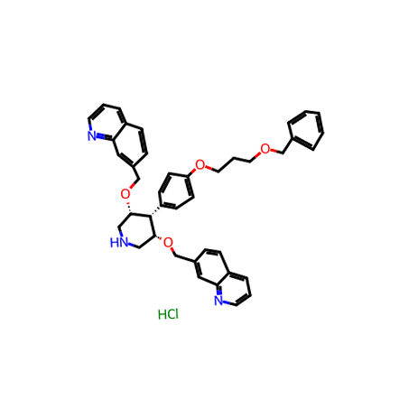 Cl.c1ccc(COCCCOc2ccc([C@H]3[C@@H](OCc4ccc5cccnc5c4)CNC[C@H]3OCc3ccc4cccnc4c3)cc2)cc1